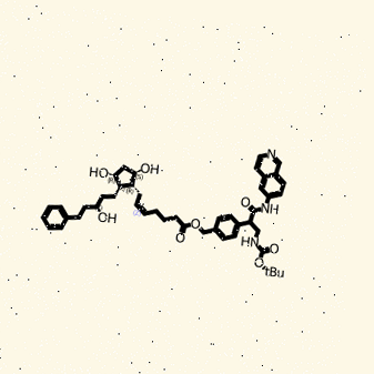 CC(C)(C)OC(=O)NCC(C(=O)Nc1ccc2cnccc2c1)c1ccc(COC(=O)CCC/C=C\C[C@@H]2[C@@H](CC[C@@H](O)CCc3ccccc3)[C@H](O)C[C@@H]2O)cc1